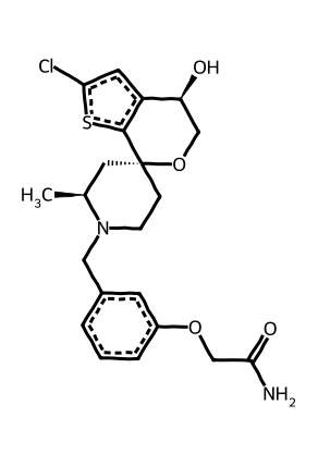 C[C@H]1C[C@@]2(CCN1Cc1cccc(OCC(N)=O)c1)OC[C@H](O)c1cc(Cl)sc12